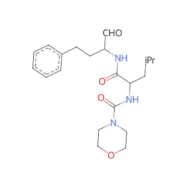 CC(C)CC(NC(=O)N1CCOCC1)C(=O)NC(C=O)CCc1ccccc1